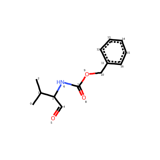 CC(C)C([C]=O)NC(=O)OCc1ccccc1